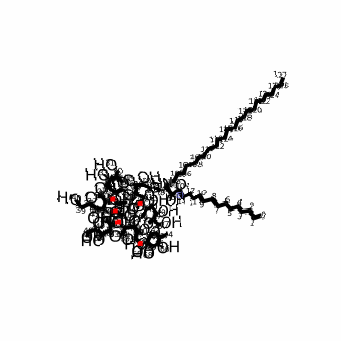 CCCCCCCCCCCCC/C=C/[C@@H](O)[C@H](CO[C@@H]1OC(CO)[C@@H](O[C@@H]2OC(CO)[C@H](O)[C@H](O[C@@H]3OC(CO)[C@@H](O)[C@H](O[C@@H]4OC(CO)[C@H](O)[C@H](O[C@@H]5OC(CO)[C@@H](O[C@H]6OC(C)[C@@H](O)C(O)[C@@H]6O)[C@H](O[C@@H]6OC(CO)[C@H](O)[C@H](O)C6O)C5NC(C)=O)C4O)C3NC(C)=O)C2O)[C@H](O)C1O)NC(=O)CCCCCCCCCCCCCCCCCCCCCCC